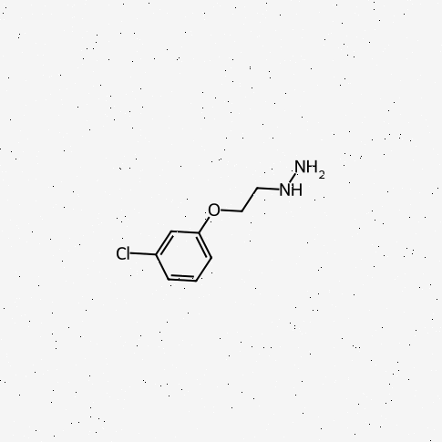 NNCCOc1cccc(Cl)c1